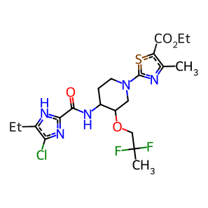 CCOC(=O)c1sc(N2CCC(NC(=O)c3nc(Cl)c(CC)[nH]3)C(OCC(C)(F)F)C2)nc1C